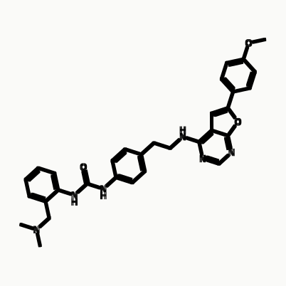 COc1ccc(-c2cc3c(NCCc4ccc(NC(=O)Nc5ccccc5CN(C)C)cc4)ncnc3o2)cc1